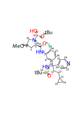 CO[C@@H]1C[C@H](C(=O)Nc2cc(C(CCC3CC3)(N[S@+]([O-])C(C)(C)C)c3ccncc3)ccc2F)N(C(O)OC(C)(C)C)C1